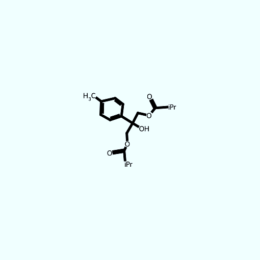 Cc1ccc(C(O)(COC(=O)C(C)C)COC(=O)C(C)C)cc1